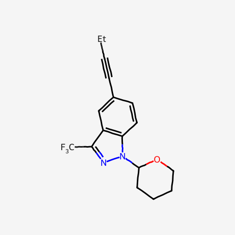 CCC#Cc1ccc2c(c1)c(C(F)(F)F)nn2C1CCCCO1